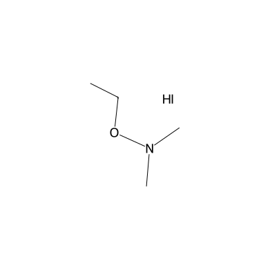 CCON(C)C.I